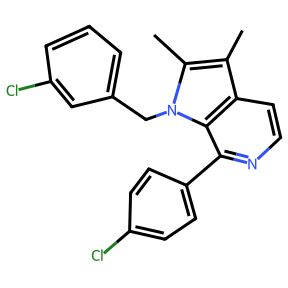 Cc1c(C)n(Cc2cccc(Cl)c2)c2c(-c3ccc(Cl)cc3)nccc12